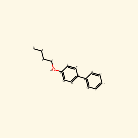 CCC[CH]Oc1ccc(-c2ccccc2)cc1